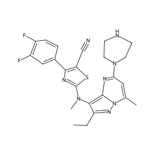 CCc1nn2c(C)cc(N3CCNCC3)nc2c1N(C)c1nc(-c2ccc(F)c(F)c2)c(C#N)s1